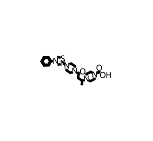 CC(CC(=O)N1CCN(N2CN(c3ccccc3)CS2)CC1)N1CCN(C(=O)O)CC1